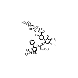 CC(C)OC(=O)c1cc(-n2c(=O)cc(C(F)(F)F)n(C)c2=O)ccc1Cl.CCCCCCCCSC(=O)Oc1cc(Cl)nnc1-c1ccccc1.C[S+](C)C.O=C(O)CNCP(=O)([O-])O